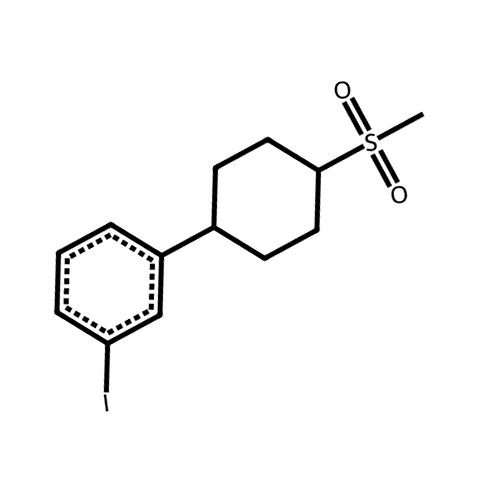 CS(=O)(=O)C1CCC(c2cccc(I)c2)CC1